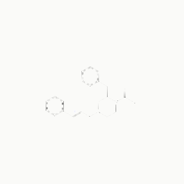 S=C(S)N1CCN(C/C=C/c2ccccc2)CC1Cc1ccccc1